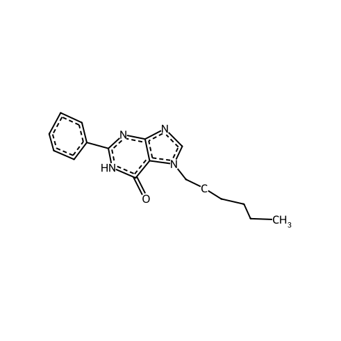 CCCCCCn1cnc2nc(-c3ccccc3)[nH]c(=O)c21